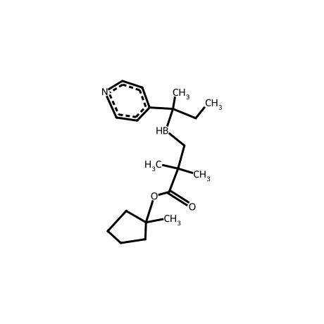 CCC(C)(BCC(C)(C)C(=O)OC1(C)CCCC1)c1ccncc1